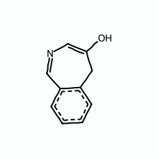 OC1=CN=Cc2ccccc2C1